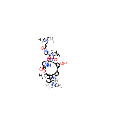 CCn1c(-c2ccccc2CN(C)C)c2c3cc(ccc31)-c1cc(O)cc(c1)C[C@H](NC(=O)C(C(C)C)N(C)C(=O)[C@H]1CCN(C(=O)/C=C/CN(C)C)C1)C(=O)N1CCC[C@H](N1)C(=O)OCC(C)(C)C2